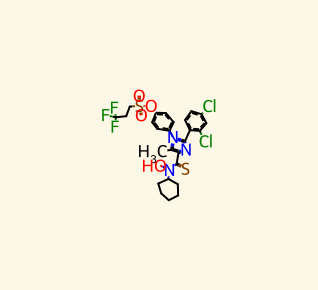 Cc1c(C(=S)N(O)C2CCCCC2)nc(-c2ccc(Cl)cc2Cl)n1-c1ccc(OS(=O)(=O)CCC(F)(F)F)cc1